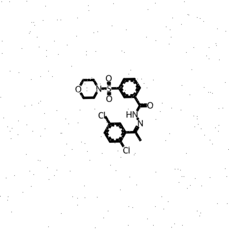 C/C(=N/NC(=O)c1cccc(S(=O)(=O)N2CCOCC2)c1)c1cc(Cl)ccc1Cl